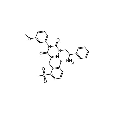 COc1cccc(-n2c(=O)c(Cc3c(F)cccc3S(C)(=O)=O)nn(CC(N)c3ccccc3)c2=O)c1